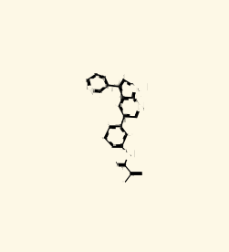 C=C(C)C(=O)Nc1cccc(-c2cnc3[nH]cc(-c4cccnc4)c3c2)c1